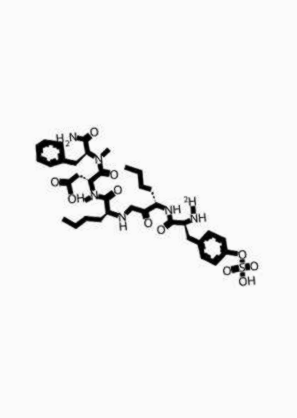 [2H]N[C@@H](Cc1ccc(OS(=O)(=O)O)cc1)C(=O)N[C@@H](CCCC)C(=O)CN[C@@H](CCCC)C(=O)N(C)[C@H](CC(=O)O)C(=O)N(C)[C@@H](Cc1ccccc1)C(N)=O